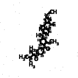 C#CCn1cc(-c2cnc3c(Nc4ccc(C(=O)N5CCN(C(=O)[C@H](N)C(C)C)CC5)c(CC)c4)nccn23)c(C(F)F)n1